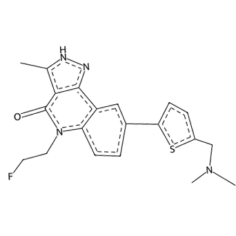 Cc1[nH]nc2c1c(=O)n(CCF)c1ccc(-c3ccc(CN(C)C)s3)cc21